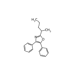 CCCC(C)c1nc(-c2ccccc2)c(-c2ccccc2)o1